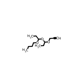 C#CCOC(CC)OC(CC)OCCCC